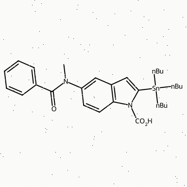 CCC[CH2][Sn]([CH2]CCC)([CH2]CCC)[c]1cc2cc(N(C)C(=O)c3ccccc3)ccc2n1C(=O)O